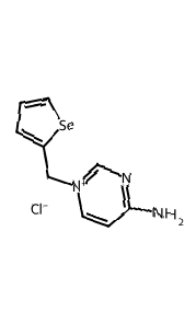 Nc1cc[n+](Cc2ccc[se]2)cn1.[Cl-]